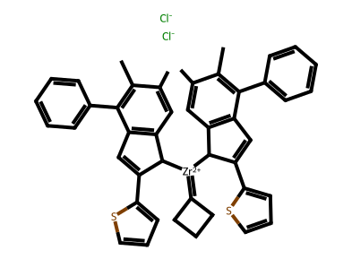 Cc1cc2c(c(-c3ccccc3)c1C)C=C(c1cccs1)[CH]2[Zr+2](=[C]1CCC1)[CH]1C(c2cccs2)=Cc2c1cc(C)c(C)c2-c1ccccc1.[Cl-].[Cl-]